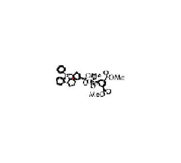 COC(=O)c1cc(C(=O)OC)cc(S(=O)(=O)[O-])c1.COC(=O)c1ccc(C[P+](c2ccccc2)(c2ccccc2)c2ccccc2)cc1